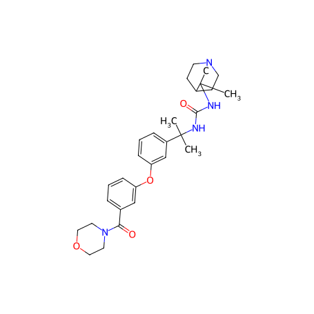 CC(C)(NC(=O)NC1(C)CN2CCC1CC2)c1cccc(Oc2cccc(C(=O)N3CCOCC3)c2)c1